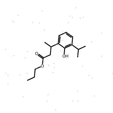 CCCOC(=O)CC(C)c1cccc(C(C)C)c1O